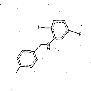 Cc1ccc(CNc2cc(F)ccc2F)cc1